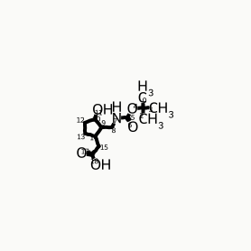 CC(C)(C)OC(=O)NCC1C(O)CCC1CC(=O)O